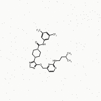 CN(C)CCNc1nccc(COc2nsnc2N2CCN(C(=O)Nc3cc(C(F)(F)F)cc(C(F)(F)F)c3)CC2)n1